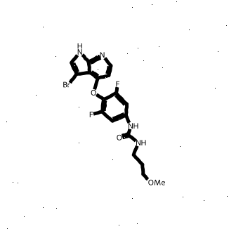 COCCCNC(=O)Nc1cc(F)c(Oc2ccnc3[nH]cc(Br)c23)c(F)c1